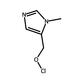 Cn1cncc1COCl